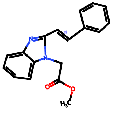 COC(=O)Cn1c(/C=C/c2ccccc2)nc2ccccc21